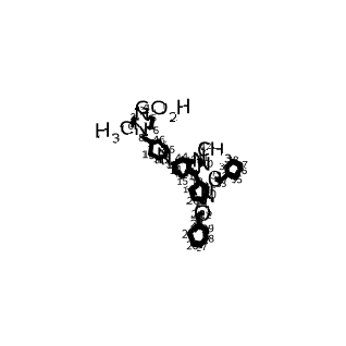 C[C@@H]1CN(C(=O)O)CCN1CC1CCN(c2ccc3c(-c4ccc(OCc5ccccc5)nc4OCc4ccccc4)nn(C)c3c2)CC1